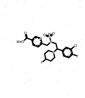 COC(=O)c1ccc(CN(CC(c2ccc(F)c(Cl)c2)N2CCC(F)CC2)[SH](=O)=O)nc1